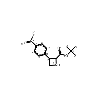 CC(C)(C)OC(=O)C1NCC1c1ccc([N+](=O)[O-])cc1